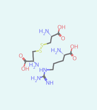 N=C(N)NCCC[C@H](N)C(=O)O.N[C@@H](CSSC[C@H](N)C(=O)O)C(=O)O